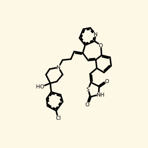 O=C1NC(=O)C(=CC2C=CC=C3Oc4ncccc4C(=CCCN4CCC(O)(c5ccc(Cl)cc5)CC4)C=C32)S1